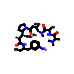 CC[C@H](C)[C@@H]([C@@H](CC(=O)N1CCCC1[C@H](OC)[C@@H](C)C(=O)NC(CC#N)Cc1cccc(N)c1)OC)N(C)C(=O)C(NC(=O)C(C)N(C)C)C(C)C